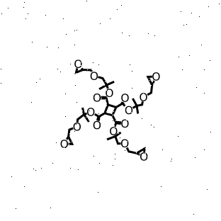 CC(C)(COCC1CO1)OC(=O)C1C(C(=O)OC(C)(C)COCC2CO2)C(C(=O)OC(C)(C)COCC2CO2)C1C(=O)OC(C)(C)COCC1CO1